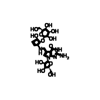 Nc1nc2c(c(CN[C@H]3C=C[C@H](O)[C@@H]3O[C@@H]3O[C@H](CO)[C@H](O)[C@H](O)[C@H]3O)cn2[C@@H]2O[C@H](CO)[C@@H](O)[C@H]2O)c(=O)[nH]1